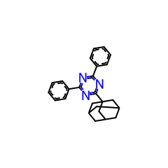 c1ccc(-c2nc(-c3ccccc3)nc(C34CC5CC(CC(C5)C3)C4)n2)cc1